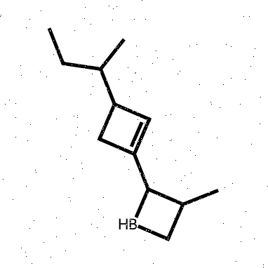 CCC(C)C1C=C(C2BCC2C)C1